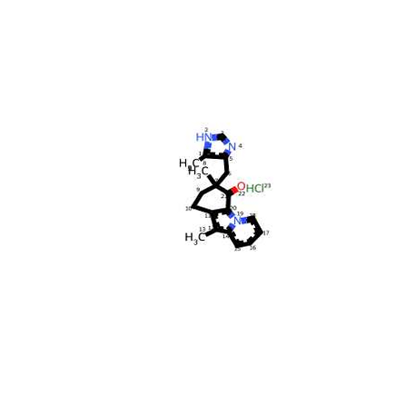 Cc1[nH]cnc1CC1(C)CCc2c(C)c3ccccn3c2C1=O.Cl